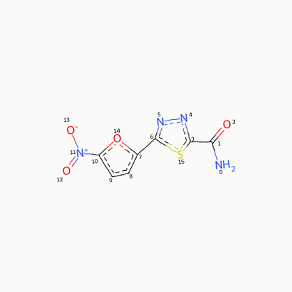 NC(=O)c1nnc(-c2ccc([N+](=O)[O-])o2)s1